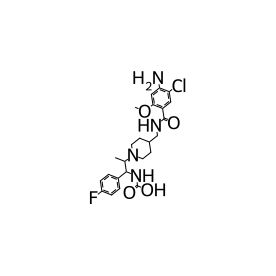 COc1cc(N)c(Cl)cc1C(=O)NCC1CCN(C(C)C(NC(=O)O)c2ccc(F)cc2)CC1